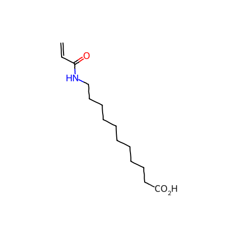 C=CC(=O)NCCCCCCCCCCC(=O)O